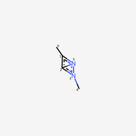 Cc1c2n(C)n1-2